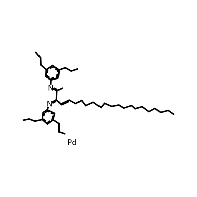 CCCCCCCCCCCCCCCCC/C=C/C(=N\c1cc(CCC)cc(CCC)c1)C(/C)=N/c1cc(CCC)cc(CCC)c1.[Pd]